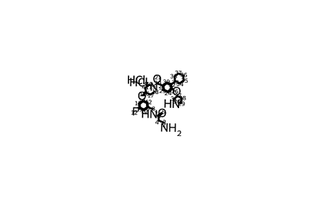 Cl.Cl.NCCC(=O)NCc1cc(F)cc(OC2CCN(C(=O)c3ccc(O[C@H]4CCNC4)c(C4CCCCC4)c3)CC2)c1